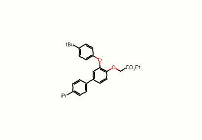 CCOC(=O)COc1ccc(-c2ccc(C(C)C)cc2)cc1Oc1ccc(C(C)(C)C)cc1